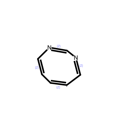 [C]1=C\C=C/N=C\N=C/1